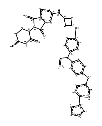 C=CC(c1ccc(Oc2cnc(-n3nccn3)nc2)cc1)c1ccc(O[C@H]2C[C@H](Nc3ccc4c(c3)C(=O)N(C3CCC(=O)NC3=O)C4=O)C2)cc1